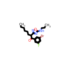 CCCCCCC(C(=O)c1cc(F)cc(Br)c1)c1noc(NCCC)n1